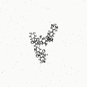 Cn1c(=O)n(-c2ccc(C[C@H](NC(=O)c3cc(F)c(NS(=O)(=O)c4ccc(-c5cncnc5)cn4)cc3F)C(=O)OC3CCCCC3)nc2)c(=O)c2ccncc21